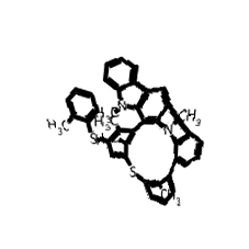 Cc1ccccc1Sc1cc2sc3cccc(c3C)c3cccc4c5cc6c7ccccc7n(C)c6c(c(c1C)c2C)c5n(C)c34